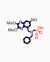 COc1nc2cc(N=O)cc(CN(Cc3ccccc3)CP(=O)(O)O)c2nc1OC